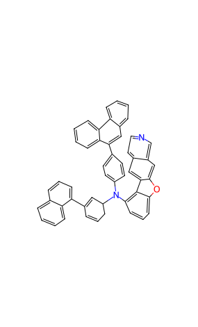 C1=CC(c2cccc3ccccc23)=CC(N(c2ccc(-c3cc4ccccc4c4ccccc34)cc2)c2cccc3oc4cc5cnccc5cc4c23)C1